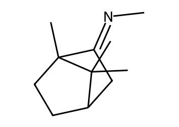 C/N=C1\CC2CCC1(C)C2(C)C